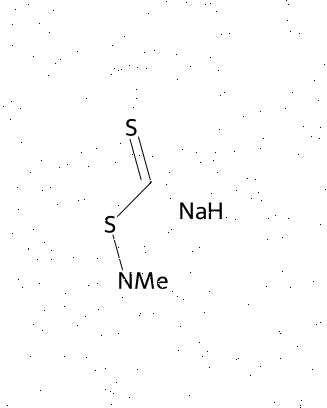 CNSC=S.[NaH]